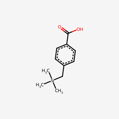 C[Si](C)(C)Cc1ccc(C(=O)O)cc1